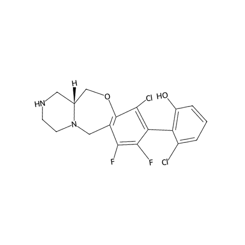 Oc1cccc(Cl)c1-c1c(F)c(F)c2c(c1Cl)OC[C@H]1CNCCN1C2